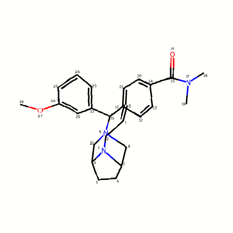 C=CCN1C2CCC1CN(C(c1ccc(C(=O)N(C)C)cc1)c1cccc(OC)c1)C2